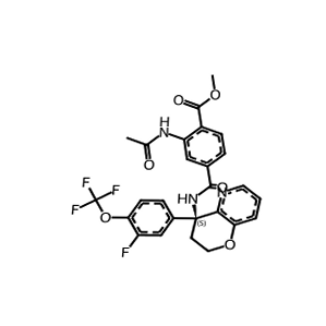 COC(=O)c1ccc(C(=O)N[C@]2(c3ccc(OC(F)(F)F)c(F)c3)CCOc3cccnc32)cc1NC(C)=O